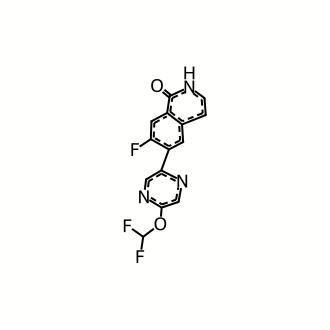 O=c1[nH]ccc2cc(-c3cnc(OC(F)F)cn3)c(F)cc12